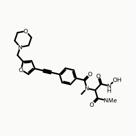 CNC(=O)C(C(=O)NO)N(C)C(=O)c1ccc(C#Cc2coc(CN3CCOCC3)c2)cc1